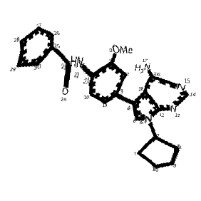 COc1cc(-c2cn(C3CCCC3)c3ncnc(N)c23)ccc1NC(=O)c1ccccc1